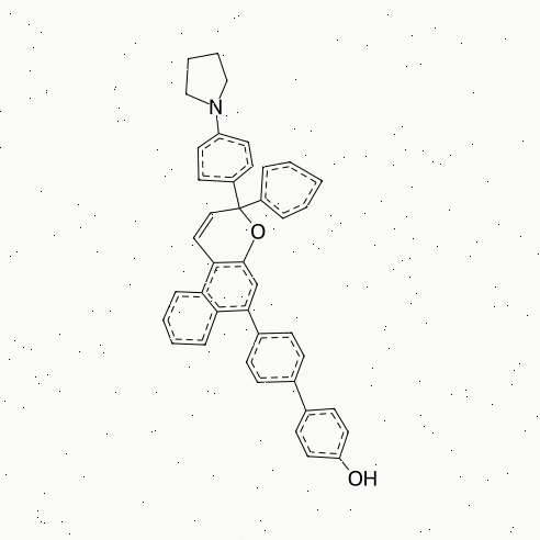 Oc1ccc(-c2ccc(-c3cc4c(c5ccccc35)C=CC(c3ccccc3)(c3ccc(N5CCCC5)cc3)O4)cc2)cc1